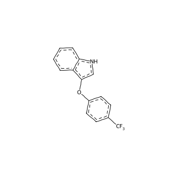 FC(F)(F)c1ccc(Oc2c[nH]c3ccccc23)cc1